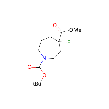 COC(=O)C1(F)CCCN(C(=O)OC(C)(C)C)CC1